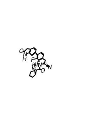 N#C[C@H](Cc1ccc(-c2ccc3c(c2)NC(=O)C3)c(F)c1F)NC(=O)C1NC2CCC1C2